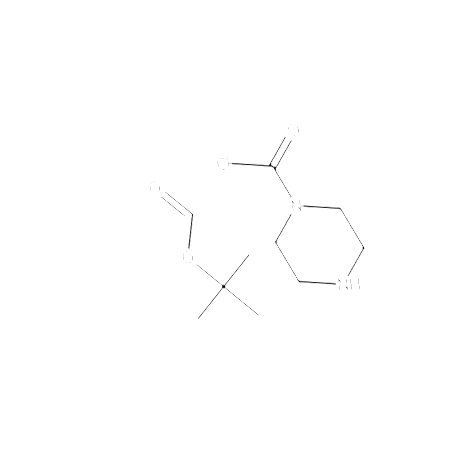 CC(C)(C)OC=O.O=C(Cl)N1CCNCC1